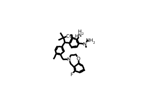 Cc1ccc(C(c2ccc(N(C)N)c(N)c2C)C(C)(C)C(=O)O)cc1CN1CCOc2cccc(F)c2C1